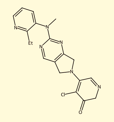 CCc1ncccc1N(C)c1ncc2c(n1)CN(C1=C(Cl)C(=O)CN=C1)C2